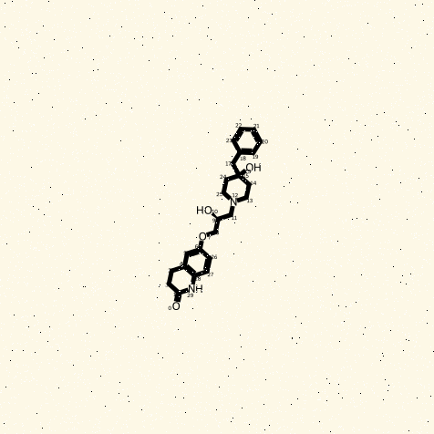 O=C1CCc2cc(OC[C@@H](O)CN3CCC(O)(Cc4ccccc4)CC3)ccc2N1